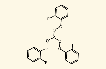 Fc1ccccc1OOP(OOc1ccccc1F)OOc1ccccc1F